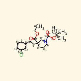 CCOC(=O)C1(CCc2cccc(Cl)c2)CCCN(C(=O)OC(C)(C)C)C1